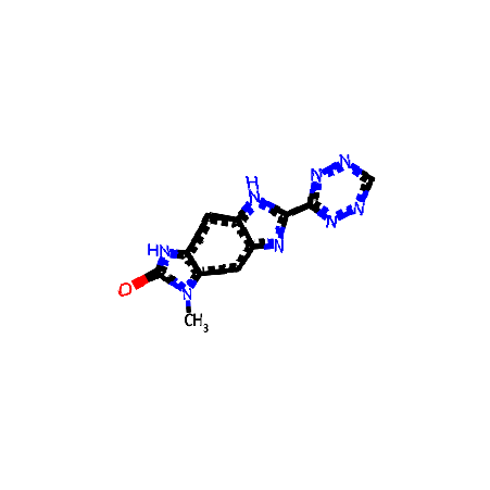 Cn1c(=O)[nH]c2cc3[nH]c(-c4nncnn4)nc3cc21